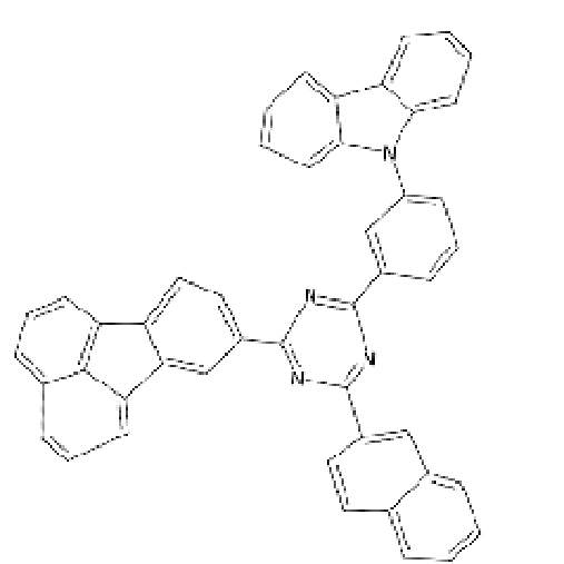 c1cc(-c2nc(-c3ccc4c(c3)-c3cccc5cccc-4c35)nc(-c3ccc4ccccc4c3)n2)cc(-n2c3ccccc3c3ccccc32)c1